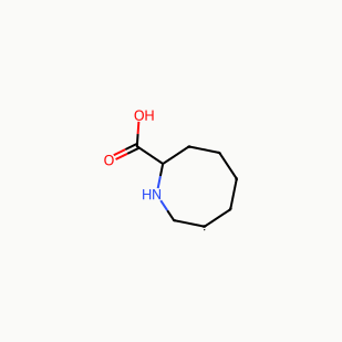 O=C(O)C1CCCC[CH]CN1